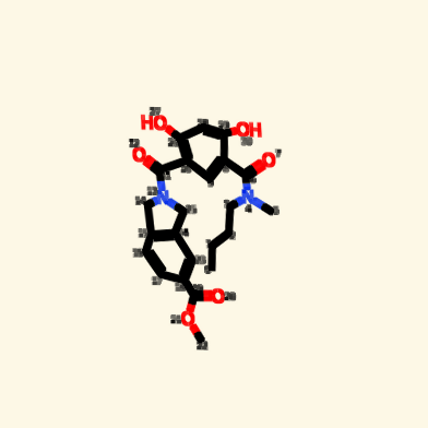 CCCCN(C)C(=O)c1cc(C(=O)N2Cc3ccc(C(=O)OC)cc3C2)c(O)cc1O